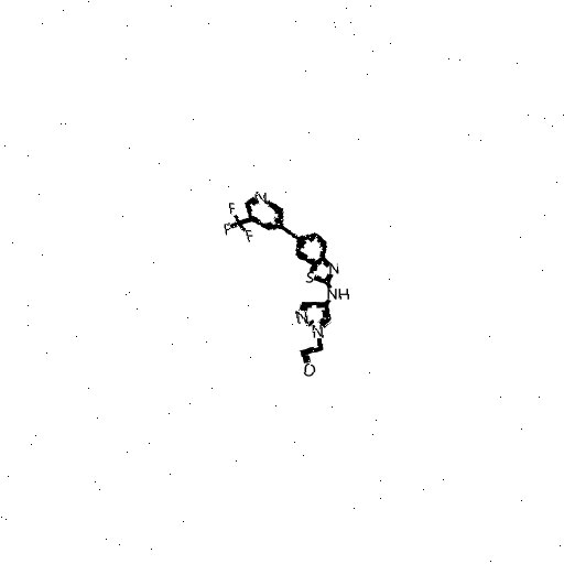 O=CCn1cc(Nc2nc3ccc(-c4cncc(C(F)(F)F)c4)cc3s2)cn1